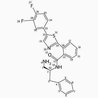 NC[C@H](Cc1ccccc1)NC(=O)c1ccccc1-c1ncc(-c2ccc(F)c(F)c2)s1